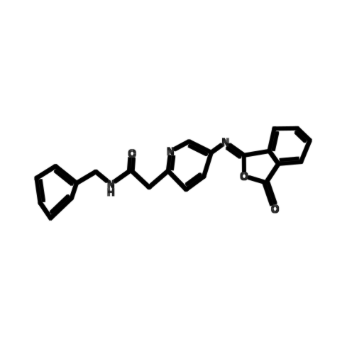 O=C(Cc1ccc(/N=C2\OC(=O)c3ccccc32)cn1)NCc1ccccc1